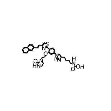 O=C(O)NCCCCc1cn(-c2ccc(-c3nc(/C=C/c4ccc5ccccc5c4)cs3)c(OCCN3CCNC3=O)c2)nn1